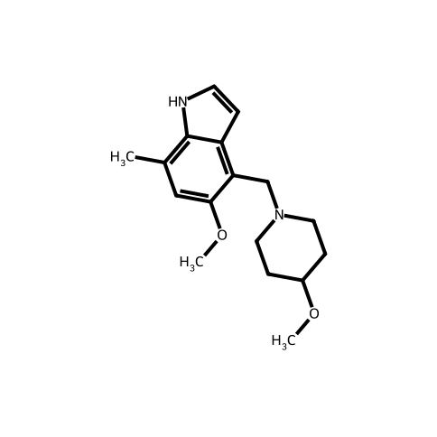 COc1cc(C)c2[nH]ccc2c1CN1CCC(OC)CC1